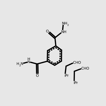 CC(C)CC=O.CC(C)CC=O.NNC(=O)c1cccc(C(=O)NN)c1